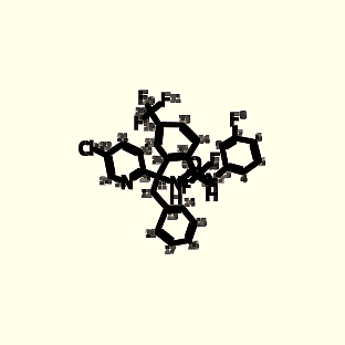 O=C(Nc1cccc(F)c1)NC(Cc1ccccc1)(c1ccc(Cl)cn1)c1cc(C(F)(F)F)ccc1C(F)(F)F